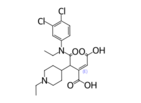 CCN1CCC(C(C(=O)N(CC)c2ccc(Cl)c(Cl)c2)/C(=C\C(=O)O)C(=O)O)CC1